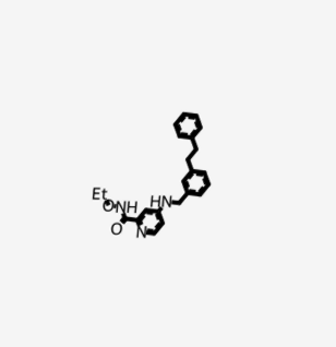 CCONC(=O)c1cc(NCc2cccc(CCc3ccccc3)c2)ccn1